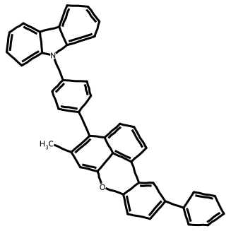 Cc1cc2c3c(cccc3c1-c1ccc(-n3c4ccccc4c4ccccc43)cc1)-c1cc(-c3ccccc3)ccc1O2